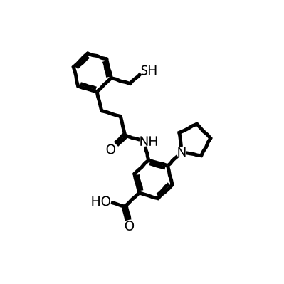 O=C(CCc1ccccc1CS)Nc1cc(C(=O)O)ccc1N1CCCC1